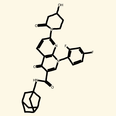 O=C(NC12CC3CC(C1)C(C3)C2)c1cn(-c2ccc(F)cc2F)c2nc(N3CCC(O)CC3=O)ccc2c1=O